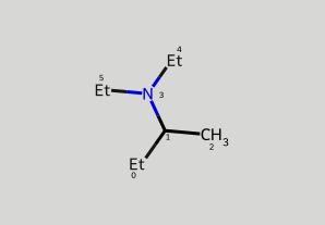 [CH2]CC(C)N(CC)CC